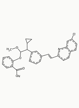 COC(Oc1ccccc1C(=O)O)C(c1cccc(C=Cc2ccc3ccc(Cl)cc3n2)c1)C1CC1